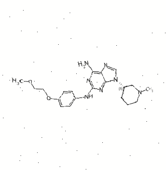 COCCOc1ccc(Nc2nc(N)c3ncn([C@H]4CCCN(C)C4)c3n2)cc1